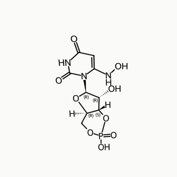 O=c1cc(NO)n([C@@H]2O[C@@H]3COP(=O)(O)O[C@H]3[C@H]2O)c(=O)[nH]1